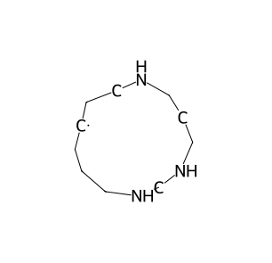 [CH]1CCCNCNCCCNCC1